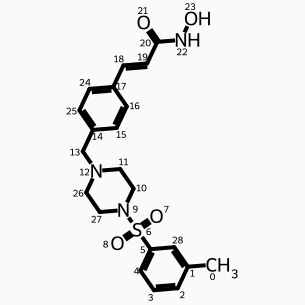 Cc1cccc(S(=O)(=O)N2CCN(Cc3ccc(C=CC(=O)NO)cc3)CC2)c1